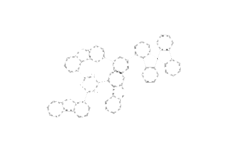 c1cc(-c2ccc3oc4cccc(-c5nc(-c6cccc7c6sc6ccccc67)nc(-c6cccc7sc8ccccc8c67)n5)c4c3c2)cc(-c2cccc3c2-c2ccccc2C32c3ccccc3-c3ccccc32)c1